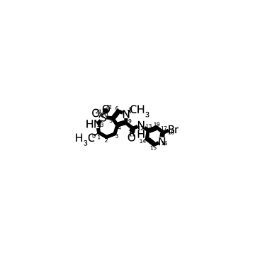 C[C@H]1CCc2c(cn(C)c2C(=O)Nc2ccnc(Br)c2)S(=O)(=O)N1